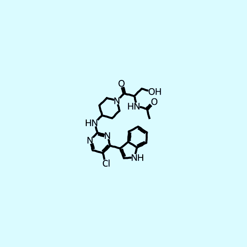 CC(=O)NC(CO)C(=O)N1CCC(Nc2ncc(Cl)c(-c3c[nH]c4ccccc34)n2)CC1